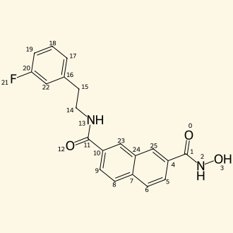 O=C(NO)c1ccc2ccc(C(=O)NCCc3cccc(F)c3)cc2c1